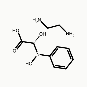 NCCN.O=C(O)[C@H](O)N(O)c1ccccc1